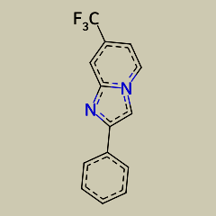 FC(F)(F)c1ccn2cc(-c3ccccc3)nc2c1